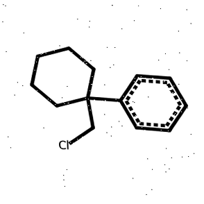 ClCC1(c2ccccc2)CCCCC1